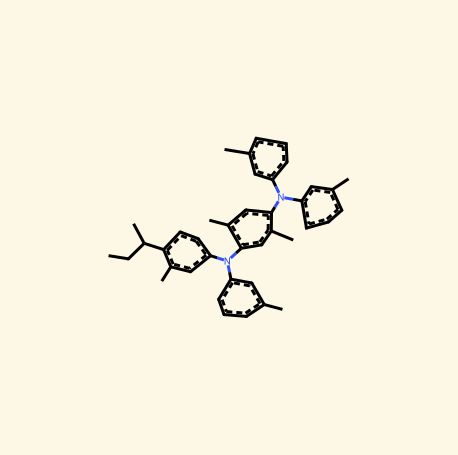 CCC(C)c1ccc(N(c2cccc(C)c2)c2cc(C)c(N(c3cccc(C)c3)c3cccc(C)c3)cc2C)cc1C